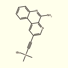 CC(C)(C)[Si](C)(C)C#Cc1cnc2c(N)nc3ccccc3c2c1